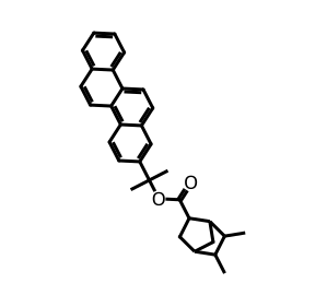 CC1C2CC(C(=O)OC(C)(C)c3ccc4c(ccc5c6ccccc6ccc45)c3)C(C2)C1C